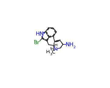 CN1CC(N)C=C2c3cccc4[nH]c(Br)c(c34)C[C@H]21